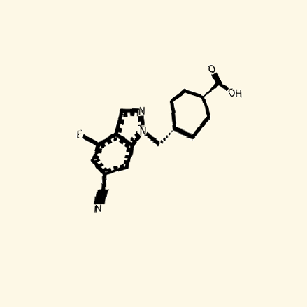 N#Cc1cc(F)c2cnn(C[C@H]3CC[C@H](C(=O)O)CC3)c2c1